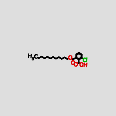 CCCCCCCCCCCCOC(=O)c1cccc(Cl)c1C(=O)O